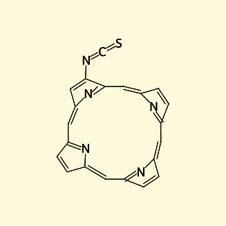 S=C=NC1=CC2=CC3=NC(=CC4=NC(=CC5=NC(=CC1=N2)C=C5)C=C4)C=C3